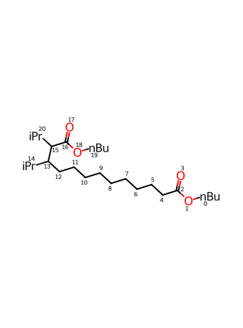 CCCCOC(=O)CCCCCCCCCC(C(C)C)C(C(=O)OCCCC)C(C)C